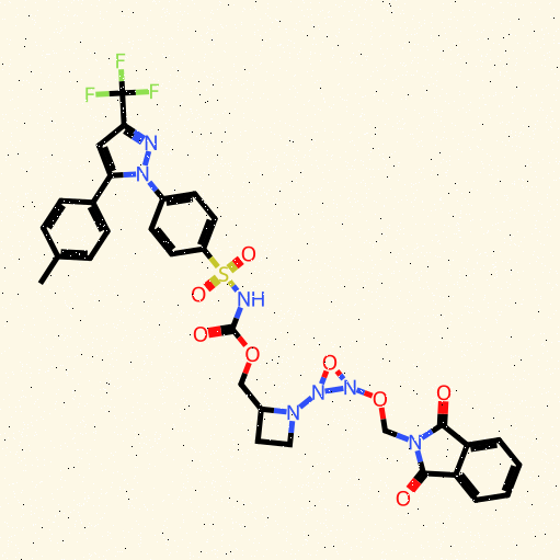 Cc1ccc(-c2cc(C(F)(F)F)nn2-c2ccc(S(=O)(=O)NC(=O)OCC3CCN3n3on3OCN3C(=O)c4ccccc4C3=O)cc2)cc1